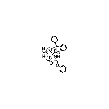 CC1(C)[S@+]([O-])[C@@H]2CC(=O)N2[C@@]1(NC(=O)COc1ccccc1)C(=O)OC(c1ccccc1)c1ccccc1